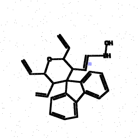 C=CC1OC(C=C)C(/C=C/BO)C2(c3ccccc3-c3ccccc32)C1C=C